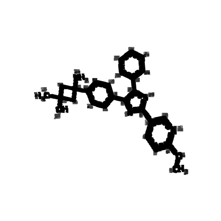 COc1ccc(-c2nc(-c3ccc(C4(N)CC(C)(O)C4)cc3)c(-c3ccccc3)s2)cn1